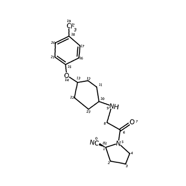 N#C[C@@H]1CCCN1C(=O)CNC1CCC(Oc2ccc(C(F)(F)F)cc2)CC1